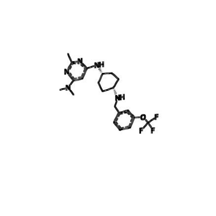 Cc1nc(N[C@H]2CC[C@@H](NCc3cccc(OC(F)(F)F)c3)CC2)cc(N(C)C)n1